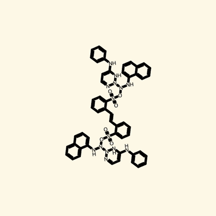 O=S(=O)(ON(Nc1cccc2ccccc12)N1N=CC=C(Nc2ccccc2)N1)c1ccccc1/C=C/c1ccccc1S(=O)(=O)ON(Nc1cccc2ccccc12)N1N=CC=C(Nc2ccccc2)N1